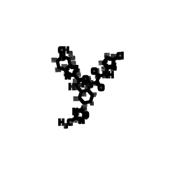 Cc1noc([C@H]2CC[C@H](NC(=O)C(=O)Nc3ccc(Cl)s3)[C@H](NC(=O)c3nc4c(s3)CN(C)CC4)C2)n1